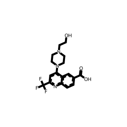 O=C(O)c1ccc2nc(C(F)(F)F)cc(N3CCN(CCO)CC3)c2c1